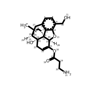 CN1CC[C@]23c4c5ccc(CO)c4O[C@H]2C(OC(=O)CCN)=CC[C@@]3(O)[C@H]1C5